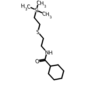 C[Si](C)(C)CCSCCNC(=O)C1CCCCC1